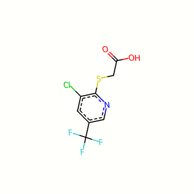 O=C(O)CSc1ncc(C(F)(F)F)cc1Cl